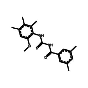 COc1cc(C)c(C)c(C)c1NC(=S)NC(=O)c1cc(C)cc(C)c1